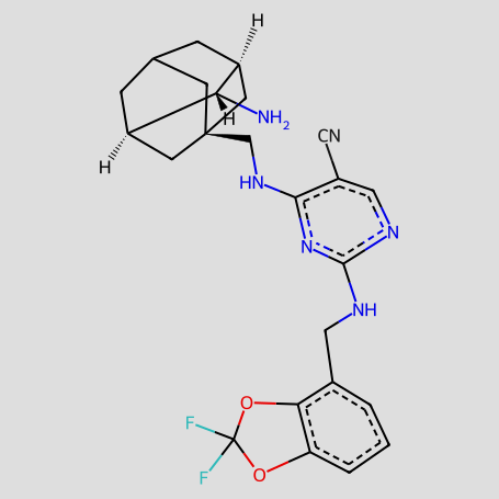 N#Cc1cnc(NCc2cccc3c2OC(F)(F)O3)nc1NC[C@]12CC3C[C@H](C1)[C@@H](N)[C@@H](C3)C2